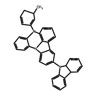 CC1C=C(N2c3ccccc3-n3c4ccc(N5c6ccccc6C6C=CC=CC65)cc4c4cccc2c43)C=CC1